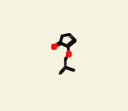 CC(C)COC1=CCCC1=O